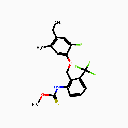 CCc1cc(F)c(OCc2c(NC(=S)OC)cccc2C(F)(F)F)cc1C